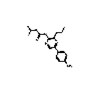 CCCc1nc(-c2ccc(N)cc2)cnc1NC(=O)CC(C)C